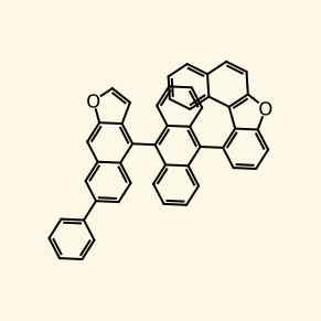 c1ccc(-c2ccc3c(-c4c5ccccc5c(-c5cccc6oc7ccc8ccccc8c7c56)c5ccccc45)c4ccoc4cc3c2)cc1